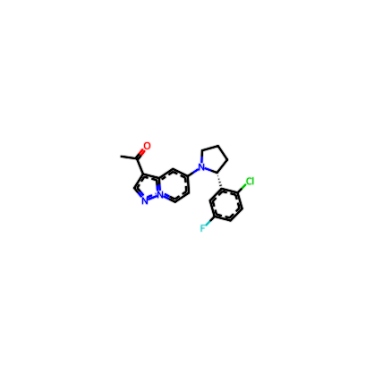 CC(=O)c1cnn2ccc(N3CCC[C@@H]3c3cc(F)ccc3Cl)cc12